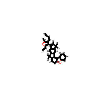 C=C/C=C\c1c(C)oc(C=C)c1C1=C(C)C(C)(C)c2cc3c(cc21)C(C)(C)c1ccc2oc4ccccc4c2c1-3